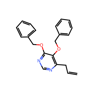 C=CCc1ncnc(OCc2ccccc2)c1OCc1ccccc1